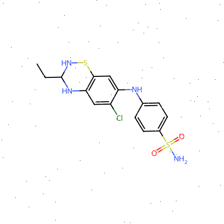 CCC1NSc2cc(Nc3ccc(S(N)(=O)=O)cc3)c(Cl)cc2N1